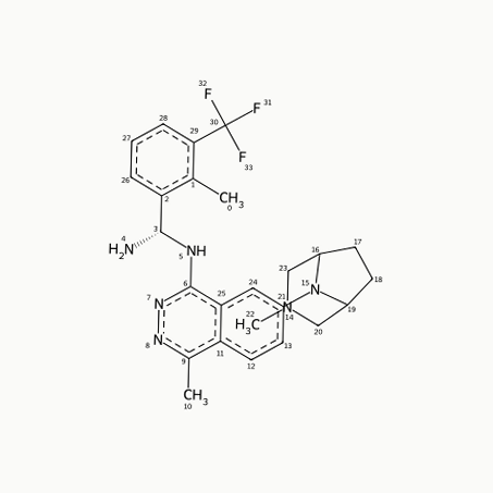 Cc1c([C@@H](N)Nc2nnc(C)c3ccc(N4C5CCC4CN(C)C5)cc23)cccc1C(F)(F)F